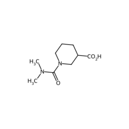 CN(C)C(=O)N1CCCC(C(=O)O)C1